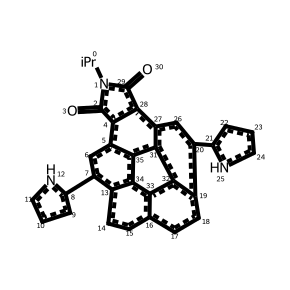 CC(C)n1c(=O)c2c3cc(-c4ccc[nH]4)c4ccc5ccc6c(-c7ccc[nH]7)cc(c2c1=O)c1c6c5c4c31